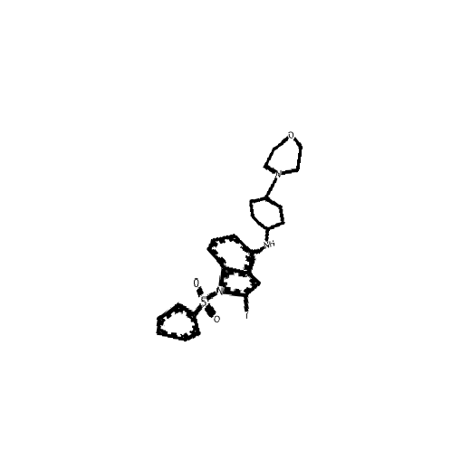 O=S(=O)(c1ccccc1)n1c(I)cc2c(NC3CCC(N4CCOCC4)CC3)cccc21